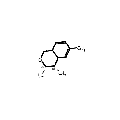 CC1=CC2C(C=C1)CO[C@@H](C)[C@H]2C